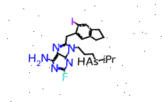 CC(C)[AsH]CCCn1c(Cc2cc3c(cc2I)CCC3)nc2c(N)nc(F)nc21